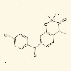 CC1C(=O)[N+](C)(C)Oc2cc(C(=O)c3ccc(Cl)cc3)ccc21